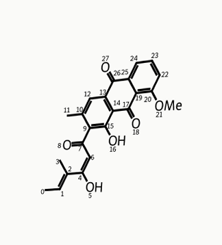 C/C=C(C)/C(O)=C\C(=O)c1c(C)cc2c(c1O)C(=O)c1c(OC)cccc1C2=O